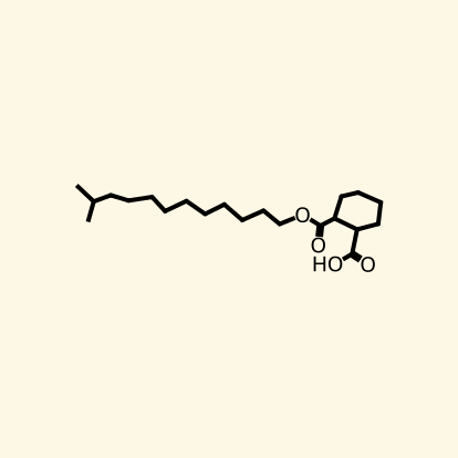 CC(C)CCCCCCCCCCOC(=O)C1CCCCC1C(=O)O